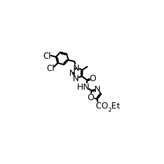 CCOC(=O)c1cnc(NC(=O)c2nnn(Cc3ccc(Cl)c(Cl)c3)c2C)o1